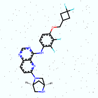 Fc1c(Nc2ncnc3ccc(N4C[C@@H]5C[C@H]4CN5)nc23)ccc(OCC2CC(F)(F)C2)c1F